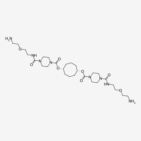 NCCOCCNC(=O)N1CCN(C(=O)O[C@H]2CCC[C@@H](OC(=O)N3CCN(C(=O)NCCOCCN)CC3)CCC2)CC1